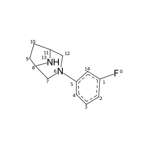 Fc1cccc(N2CC3CCC(C2)N3)c1